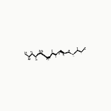 CCCCC[C]=CCCCCCCCC